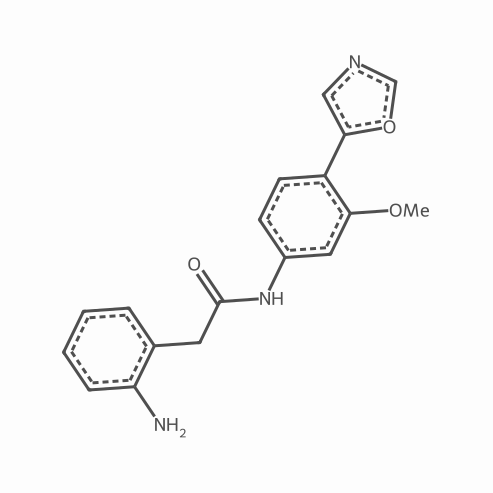 COc1cc(NC(=O)Cc2ccccc2N)ccc1-c1cnco1